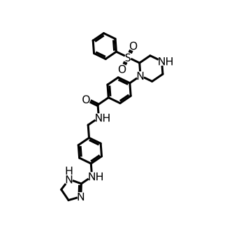 O=C(NCc1ccc(NC2=NCCN2)cc1)c1ccc(N2CCNCC2S(=O)(=O)c2ccccc2)cc1